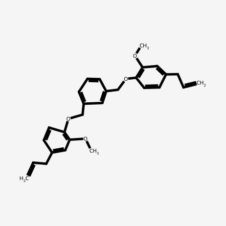 C=CCc1ccc(OCc2cccc(COc3ccc(CC=C)cc3OC)c2)c(OC)c1